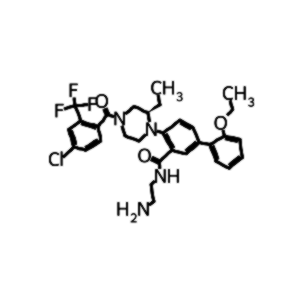 CCOc1ccccc1-c1ccc(N2CCN(C(=O)c3ccc(Cl)cc3C(F)(F)F)C[C@H]2CC)c(C(=O)NCCN)c1